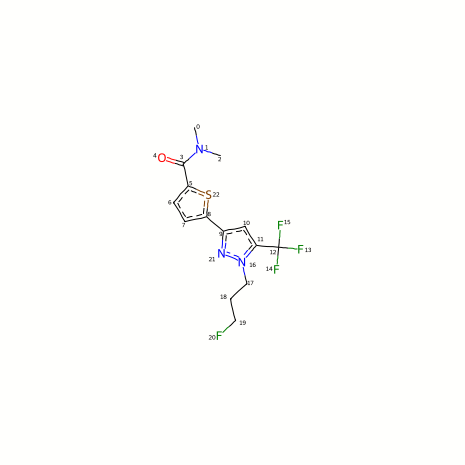 CN(C)C(=O)c1ccc(-c2cc(C(F)(F)F)n(CCCF)n2)s1